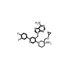 Nc1ncnc2c1ncn2Cc1cc(-c2ccc(F)c(F)c2)ncc1N1CCC[C@](N)(COC2CC2)C1